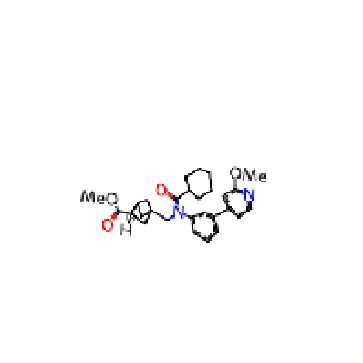 COC(=O)[C@H]1CC2(CN(C(=O)C3CCCCC3)c3cccc(-c4ccnc(OC)c4)c3)CC1C2